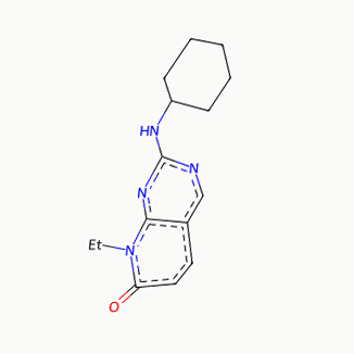 CCn1c(=O)ccc2cnc(NC3CCCCC3)nc21